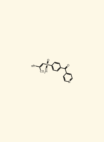 CCCC(=CS(=O)(=O)c1ccc(C(=O)c2ccncc2)cc1)C(=O)O